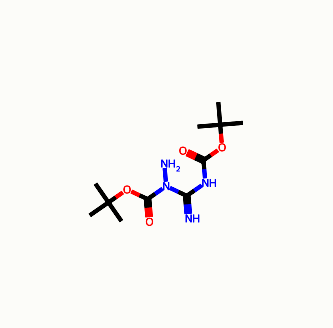 CC(C)(C)OC(=O)NC(=N)N(N)C(=O)OC(C)(C)C